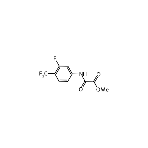 COC(=O)C(=O)Nc1ccc(C(F)(F)F)c(F)c1